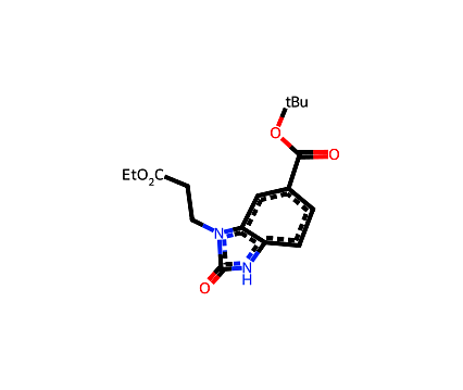 CCOC(=O)CCn1c(=O)[nH]c2ccc(C(=O)OC(C)(C)C)cc21